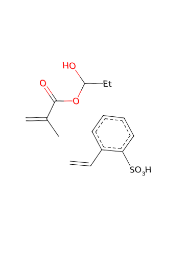 C=C(C)C(=O)OC(O)CC.C=Cc1ccccc1S(=O)(=O)O